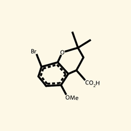 COc1ccc(Br)c2c1C(C(=O)O)CC(C)(C)O2